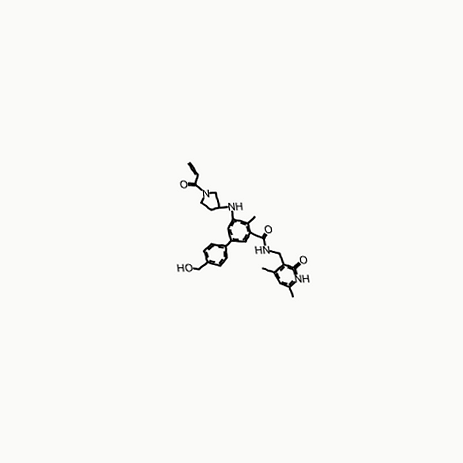 C=CC(=O)N1CCC(Nc2cc(-c3ccc(CO)cc3)cc(C(=O)NCc3c(C)cc(C)[nH]c3=O)c2C)C1